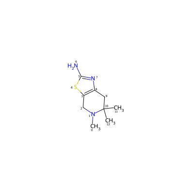 CN1Cc2sc(N)nc2CC1(C)C